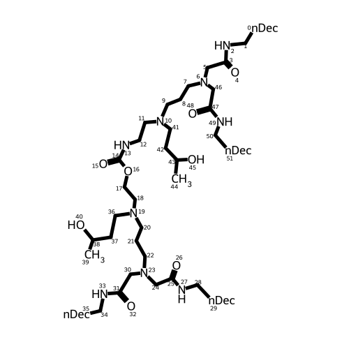 CCCCCCCCCCCNC(=O)CN(CCCN(CCNC(=O)OCCN(CCCN(CC(=O)NCCCCCCCCCCC)CC(=O)NCCCCCCCCCCC)CCC(C)O)CCC(C)O)CC(=O)NCCCCCCCCCCC